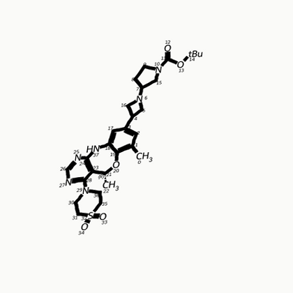 Cc1cc(C2CN(C3CCN(C(=O)OC(C)(C)C)C3)C2)cc2c1O[C@H](C)c1c(ncnc1N1CCS(=O)(=O)CC1)N2